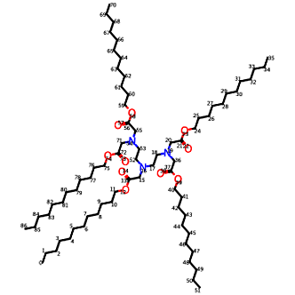 CCCCCCCCCCCCOC(=O)CN(CCN(CC(=O)OCCCCCCCCCCCC)CC(=O)OCCCCCCCCCCCC)CCN(CC(=O)OCCCCCCCCCCCC)CC(=O)OCCCCCCCCCCCC